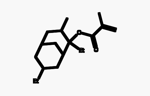 C=C(C)C(=O)OC1(CC)C(C)CC2CC(CC)CC1C2